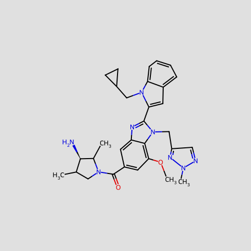 COc1cc(C(=O)N2CC(C)[C@@H](N)C2C)cc2nc(-c3cc4ccccc4n3CC3CC3)n(Cc3cnn(C)n3)c12